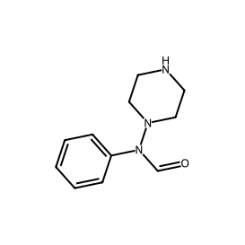 O=CN(c1ccccc1)N1CCNCC1